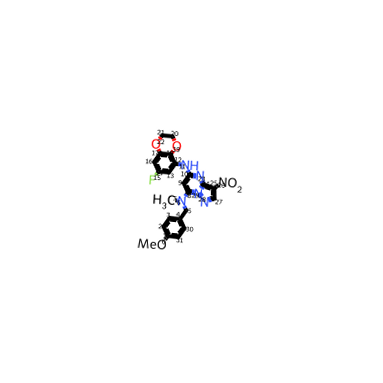 COc1ccc(CN(C)c2cc(Nc3cc(F)cc4c3OCCO4)nc3c([N+](=O)[O-])cnn23)cc1